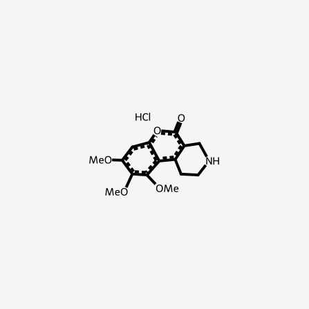 COc1cc2oc(=O)c3c(c2c(OC)c1OC)CCNC3.Cl